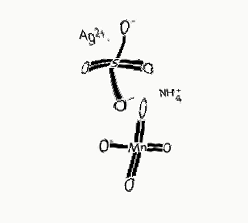 O=S(=O)([O-])[O-].[Ag+2].[NH4+].[O]=[Mn](=[O])(=[O])[O-]